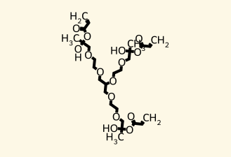 C=CC(=O)OC(C)(O)COCCOCC(COCCOCC(C)(O)OC(=O)C=C)OCCOCC(C)(O)OC(=O)C=C